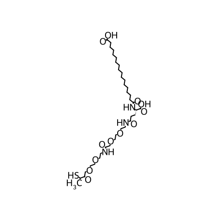 CC(S)C(=O)COCCOCCNC(=O)COCCOCCNC(=O)CC[C@H](NC(=O)CCCCCCCCCCCCCCCCC(=O)O)C(=O)O